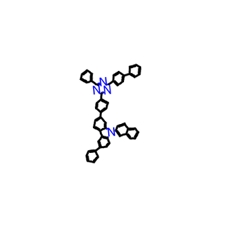 c1ccc(-c2ccc(-c3nc(-c4ccccc4)nc(-c4ccc(-c5ccc6c7cc(-c8ccccc8)ccc7n(-c7ccc8ccccc8c7)c6c5)cc4)n3)cc2)cc1